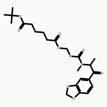 CC(C(=O)c1ccc2c(c1)OCO2)N(C)C(=O)OCOC(=O)CCCCC(=O)OC(C)(C)C